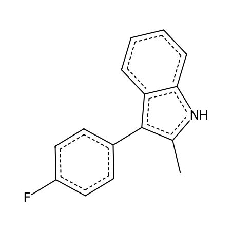 Cc1[nH]c2ccccc2c1-c1ccc(F)cc1